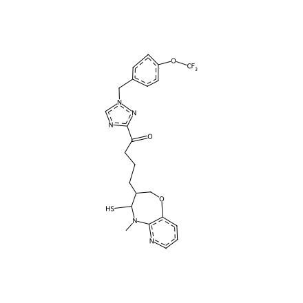 CN1c2ncccc2OCC(CCCC(=O)c2ncn(Cc3ccc(OC(F)(F)F)cc3)n2)C1S